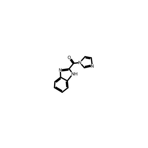 O=C(c1nc2ccccc2[nH]1)n1ccnc1